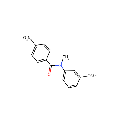 COc1cccc(N(C)C(=O)c2ccc([N+](=O)[O-])cc2)c1